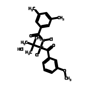 COc1cccc(C(=O)[N+](Cl)(N(Cl)C(=O)c2cc(C)cc(C)c2)C(C)(C)C)c1.Cl